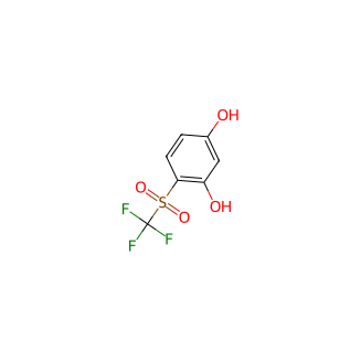 O=S(=O)(c1ccc(O)cc1O)C(F)(F)F